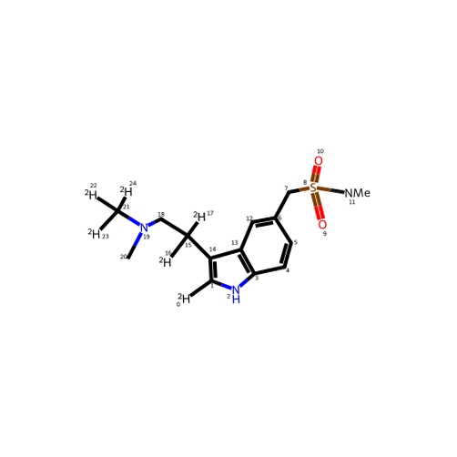 [2H]c1[nH]c2ccc(CS(=O)(=O)NC)cc2c1C([2H])([2H])CN(C)C([2H])([2H])[2H]